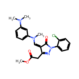 COC(=O)CC1=NN(c2ccccc2Cl)C(=O)C1=CN(C)c1cccc(N(C)C)c1